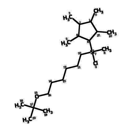 CC1C(C)C(C)C([Si](C)(Cl)CCCCCCOC(C)(C)C)C1C